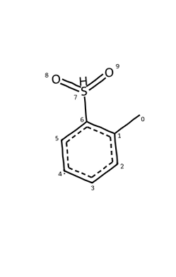 Cc1cc[c]cc1[SH](=O)=O